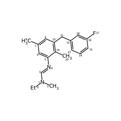 CCN(C)C=Nc1cc(C)cc(Cc2cccc(F)c2)c1C